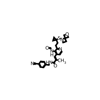 C/C(=C\c1ccnc(CCC2(SN3CCC34COC4)CC2)c1NC=O)C(=O)NCc1ccc(C#N)cc1